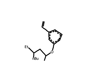 C=Cc1cccc(OC(C)CC(CC)CCCC)c1